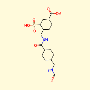 O=CNCC1CCC(C(=O)NCC2CCC(C(=O)O)CC2S(=O)(=O)O)CC1